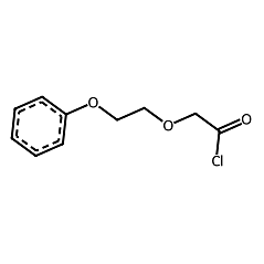 O=C(Cl)COCCOc1ccccc1